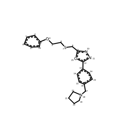 c1ccc(OCCSCc2nnc(-c3ccc(CN4CCCC4)cc3)o2)cc1